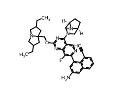 C#Cc1cccc2cc(N)cc(-c3ncc4c(N5C[C@H]6CC[C@@H](C5)N6)nc(OCC56CC(CC)CN5CC(CC)C6)nc4c3F)c12